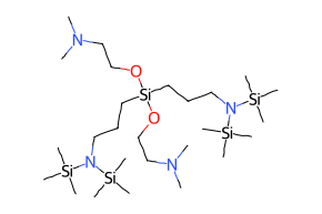 CN(C)CCO[Si](CCCN([Si](C)(C)C)[Si](C)(C)C)(CCCN([Si](C)(C)C)[Si](C)(C)C)OCCN(C)C